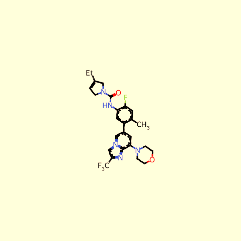 CCC1=CCN(C(=O)Nc2cc(-c3cc(N4CCOCC4)c4nc(C(F)(F)F)cn4c3)c(C)cc2F)C1